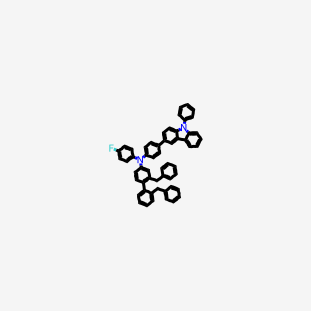 Fc1ccc(N(c2ccc(-c3ccc4c(c3)c3ccccc3n4-c3ccccc3)cc2)c2ccc(-c3ccccc3Cc3ccccc3)c(Cc3ccccc3)c2)cc1